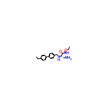 CCONC(=O)[C@H](CN)NCc1ccc(-c2ccc(CC)cc2)cc1